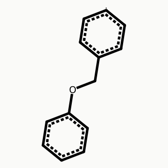 [c]1ccc(COc2ccccc2)cc1